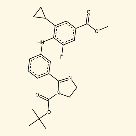 COC(=O)c1cc(F)c(Nc2cccc(C3=NCCN3C(=O)OC(C)(C)C)c2)c(C2CC2)c1